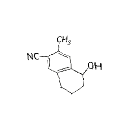 Cc1cc2c(cc1C#N)CCCC2O